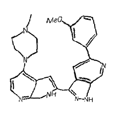 COc1cccc(-c2cc3c(-c4cc5c(N6CCN(C)CC6)ccnc5[nH]4)n[nH]c3cn2)c1